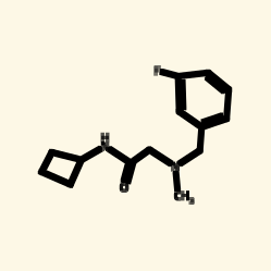 CN(CC(=O)NC1CCC1)Cc1cccc(F)c1